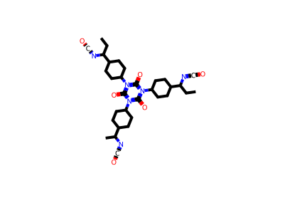 CCC(N=C=O)C1CCC(n2c(=O)n(C3CCC(C(C)N=C=O)CC3)c(=O)n(C3CCC(C(CC)N=C=O)CC3)c2=O)CC1